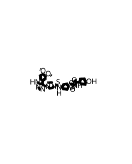 COc1cc2[nH]c3ncnc(N4CCN(C(=S)Nc5ccc(S(=O)(=O)NC(=O)c6ccc(O)cc6)cc5)CC4)c3c2cc1OC